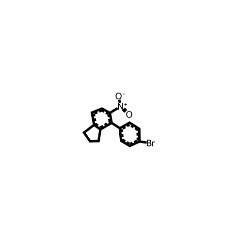 O=[N+]([O-])c1ccc2c(c1-c1ccc(Br)cc1)CCC2